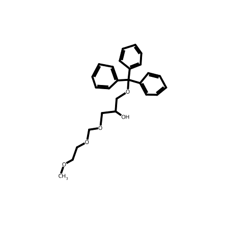 COCCOCOCC(O)COC(c1ccccc1)(c1ccccc1)c1ccccc1